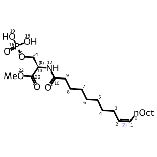 CCCCCCCC/C=C\CCCCCCCC(=O)N[C@H](COP(=O)(O)O)C(=O)OC